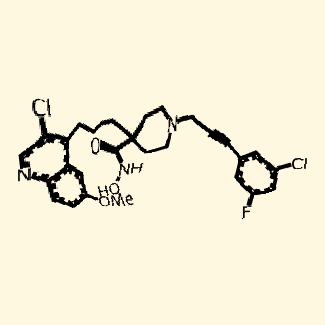 COc1ccc2ncc(Cl)c(CCCC3(C(=O)NO)CCN(CC#Cc4cc(F)cc(Cl)c4)CC3)c2c1